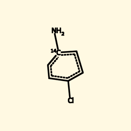 N[14c]1ccc(Cl)cc1